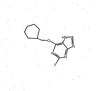 Fc1nc(OCC2CCCCC2)c2[nH]cnc2n1